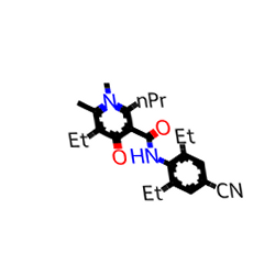 CCCc1c(C(=O)Nc2c(CC)cc(C#N)cc2CC)c(=O)c(CC)c(C)n1C